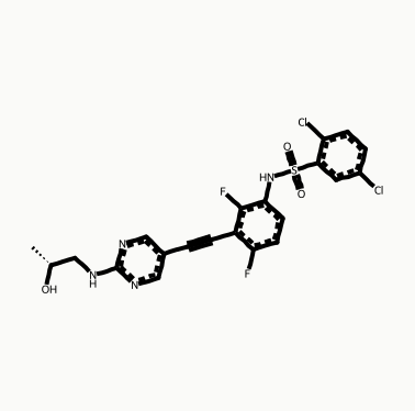 C[C@@H](O)CNc1ncc(C#Cc2c(F)ccc(NS(=O)(=O)c3cc(Cl)ccc3Cl)c2F)cn1